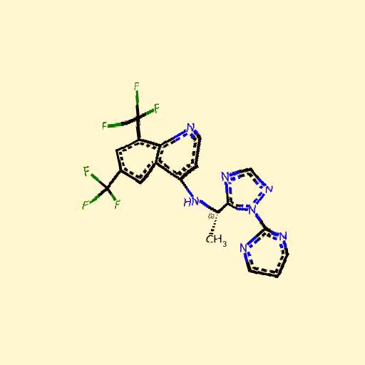 C[C@H](Nc1ccnc2c(C(F)(F)F)cc(C(F)(F)F)cc12)c1ncnn1-c1ncccn1